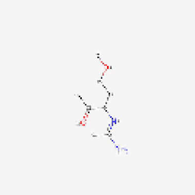 COCCC(/N=C(\C)N)C(C)=O